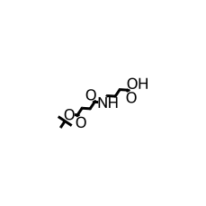 CC(C)(C)OC(=O)CCC(=O)NCCCC(=O)O